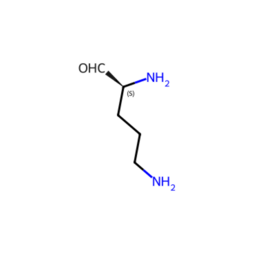 NCCC[C@H](N)C=O